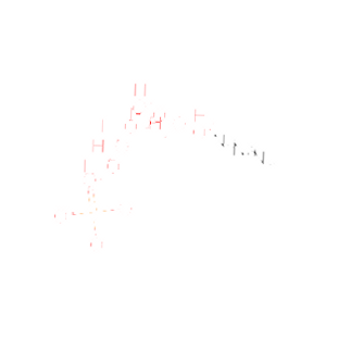 O.O.O.O.O.O.O.O=P([O-])([O-])[O-].[Na+].[Na+].[Na+]